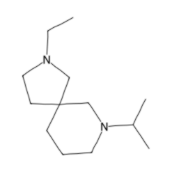 CCN1CCC2(CCCN(C(C)C)C2)C1